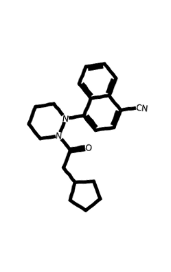 N#Cc1ccc(N2CCCCN2C(=O)CC2CCCC2)c2ccccc12